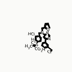 CC(C)(Sc1ccc(CN(Cc2ccco2)c2cc(-c3cccc(CCl)c3)ncn2)cc1)C(=O)O.Cl